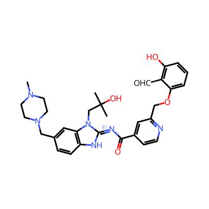 CN1CCN(Cc2ccc3[nH]/c(=N\C(=O)c4ccnc(COc5cccc(O)c5C=O)c4)n(CC(C)(C)O)c3c2)CC1